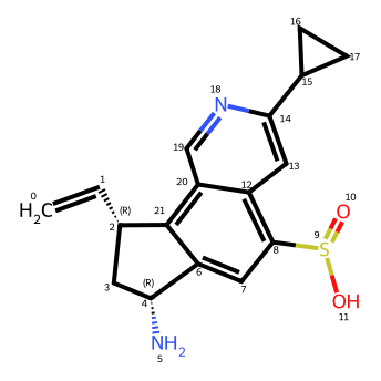 C=C[C@H]1C[C@@H](N)c2cc(S(=O)O)c3cc(C4CC4)ncc3c21